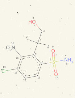 CC(C)(CO)c1c(S(N)(=O)=O)ccc(Cl)c1[N+](=O)[O-]